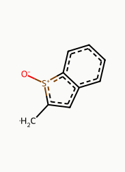 [CH2]c1cc2ccccc2[s+]1[O-]